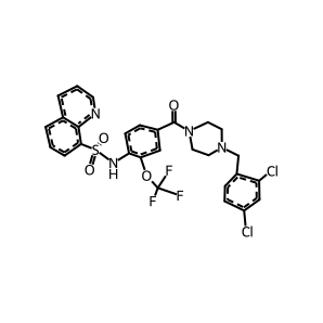 O=C(c1ccc(NS(=O)(=O)c2cccc3cccnc23)c(OC(F)(F)F)c1)N1CCN(Cc2ccc(Cl)cc2Cl)CC1